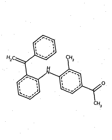 C=C(c1ccccc1)c1ccccc1Nc1ccc(C(C)=O)cc1C